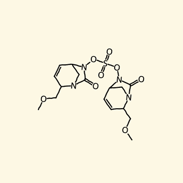 COCC1C=CC2CN1C(=O)N2OS(=O)(=O)ON1C(=O)N2CC1C=CC2COC